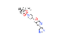 CC(C)(C)OC(=O)N1CCC(C2Cc3cc(-c4cncnc4)ncc3O2)CC1